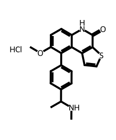 CNC(C)c1ccc(-c2c(OC)ccc3[nH]c(=O)c4sccc4c23)cc1.Cl